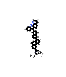 C=C/C(=C\C(C)C)c1ccc2ccc3c(-c4ccc5c(c4)C=CC(C4C6=C(N=C7C=CCCC74)c4ncccc4CC6)C5)cccc3c2c1